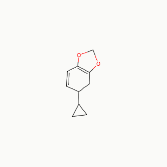 C1=CC(C2CC2)CC2=C1OCO2